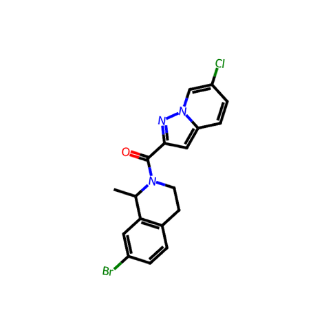 CC1c2cc(Br)ccc2CCN1C(=O)c1cc2ccc(Cl)cn2n1